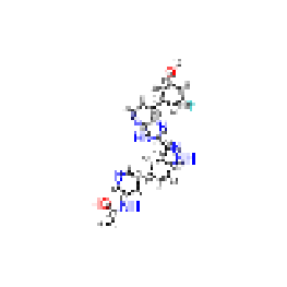 CCC(O)Nc1cncc(-c2ccc3[nH]nc(-c4nc5c(-c6cc(F)cc(OC)c6)ccnc5[nH]4)c3c2)c1